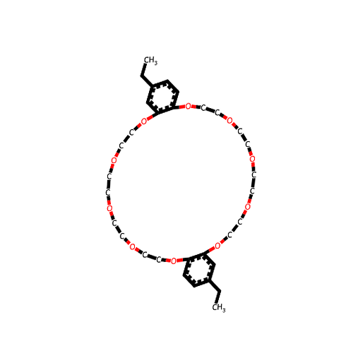 CCc1ccc2c(c1)OCCOCCOCCOCCOc1ccc(CC)cc1OCCOCCOCCOCCO2